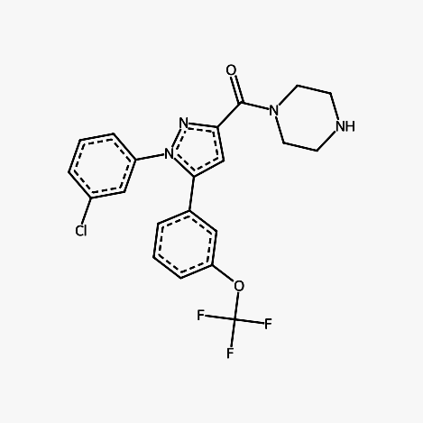 O=C(c1cc(-c2cccc(OC(F)(F)F)c2)n(-c2cccc(Cl)c2)n1)N1CCNCC1